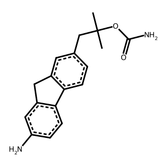 CC(C)(Cc1ccc2c(c1)Cc1cc(N)ccc1-2)OC(N)=O